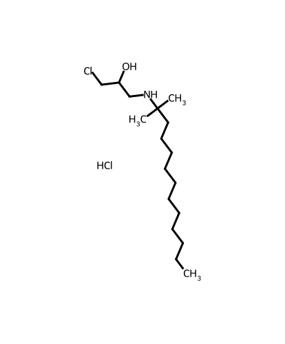 CCCCCCCCCCCC(C)(C)NCC(O)CCl.Cl